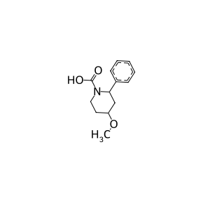 COC1CCN(C(=O)O)C(c2ccccc2)C1